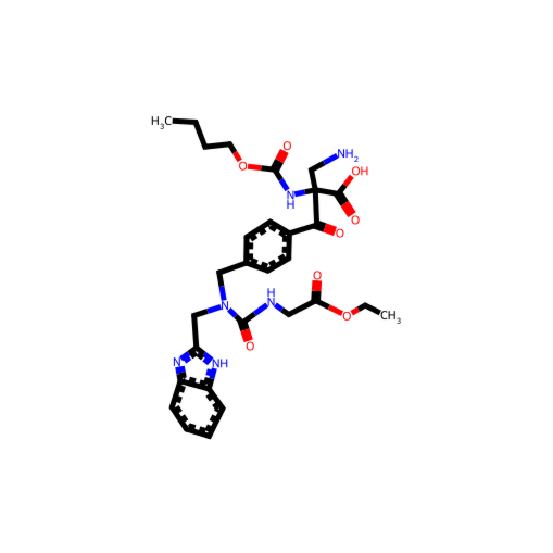 CCCCOC(=O)NC(CN)(C(=O)O)C(=O)c1ccc(CN(Cc2nc3ccccc3[nH]2)C(=O)NCC(=O)OCC)cc1